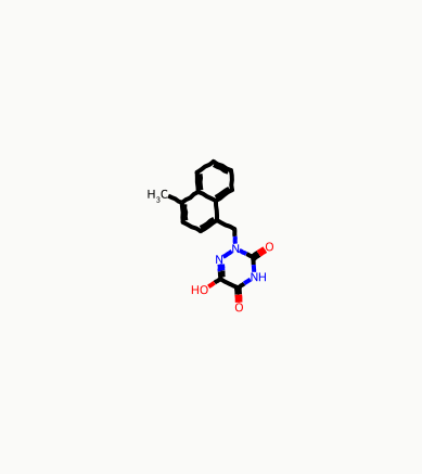 Cc1ccc(Cn2nc(O)c(=O)[nH]c2=O)c2ccccc12